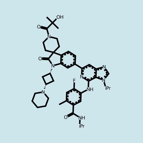 Cc1cc(F)c(Nc2nc(-c3ccc4c(c3)N([C@H]3C[C@@H](N5CCCCC5)C3)C(=O)C43CCN(C(=O)C(C)(C)O)CC3)cc3ncn(C(C)C)c23)cc1C(=O)NC(C)C